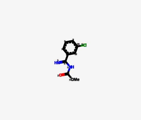 COC(=O)NC(=N)c1cc[c]c(Cl)c1